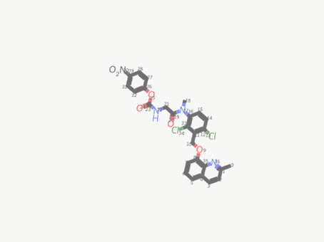 Cc1ccc2cccc(OCc3c(Cl)ccc(N(C)C(=O)CNC(=O)Oc4ccc([N+](=O)[O-])cc4)c3Cl)c2n1